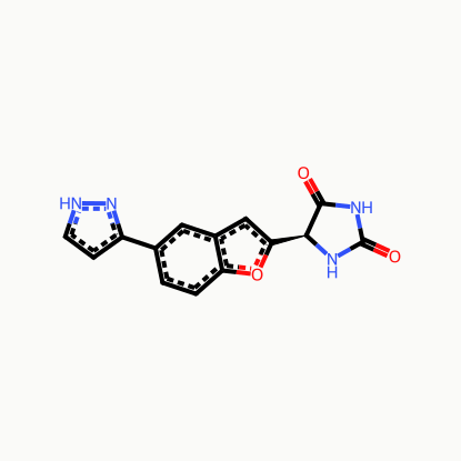 O=C1NC(=O)[C@H](c2cc3cc(-c4cc[nH]n4)ccc3o2)N1